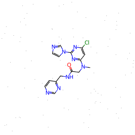 CN(CC(=O)NCc1ccncn1)c1cc(Cl)nc(-n2ccnc2)n1